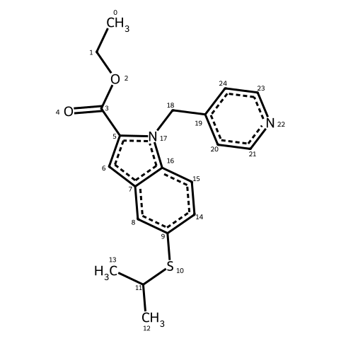 CCOC(=O)c1cc2cc(SC(C)C)ccc2n1Cc1ccncc1